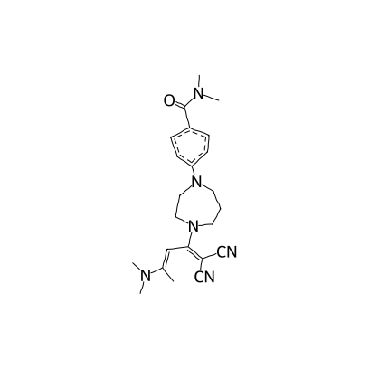 CC(=CC(=C(C#N)C#N)N1CCCN(c2ccc(C(=O)N(C)C)cc2)CC1)N(C)C